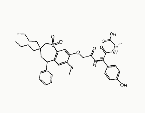 CCCCC1(CCCC)CC(c2ccccc2)c2cc(SC)c(OCC(=O)N[C@@H](C(=O)N[C@@H](C)C(=O)O)c3ccc(O)cc3)cc2S(=O)(=O)C1